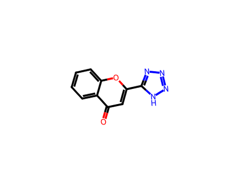 O=c1cc(-c2nnn[nH]2)oc2ccccc12